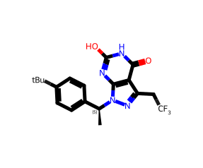 C[C@@H](c1ccc(C(C)(C)C)cc1)n1nc(CC(F)(F)F)c2c(=O)[nH]c(O)nc21